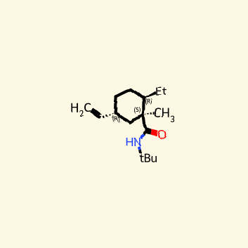 C=C[C@@H]1CC[C@@H](CC)[C@@](C)(C(=O)NC(C)(C)C)C1